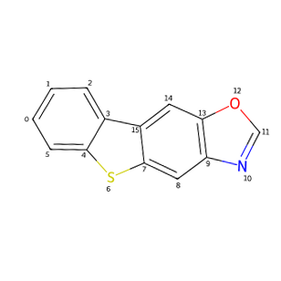 c1ccc2c(c1)sc1cc3ncoc3cc12